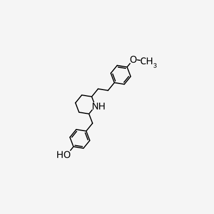 COc1ccc(CCC2CCCC(Cc3ccc(O)cc3)N2)cc1